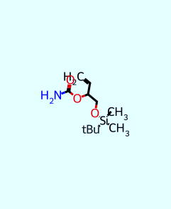 C=CC(CO[Si](C)(C)C(C)(C)C)OC(N)=O